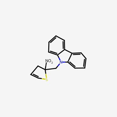 O=[N+]([O-])C1(Cn2c3ccccc3c3ccccc32)CC=CS1